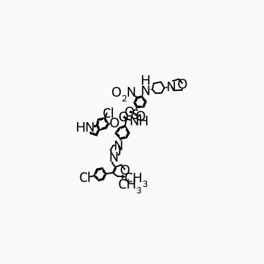 CC1(C)CC(c2ccc(Cl)cc2)=C(CN2CCN(c3ccc(C(=O)NS(=O)(=O)c4ccc(N[C@H]5CC[C@H](N6CCOCC6)CC5)c([N+](=O)[O-])c4)c(Oc4cc5cc[nH]c5cc4Cl)c3)CC2)CO1